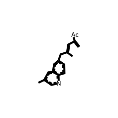 C=C(/C=C(\C)Cc1ccc2ncc(C)cc2c1)C(C)=O